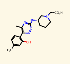 Cc1nc(N[C@@H]2CCCN(CC(=O)O)C2)nnc1-c1ccc(C(F)(F)F)cc1O